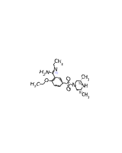 CC/N=C(\N)c1cc(S(=O)(=O)N2C[C@@H](C)N[C@@H](C)C2)ccc1OCC